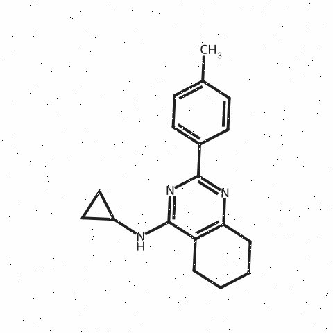 Cc1ccc(-c2nc3c(c(NC4CC4)n2)CCCC3)cc1